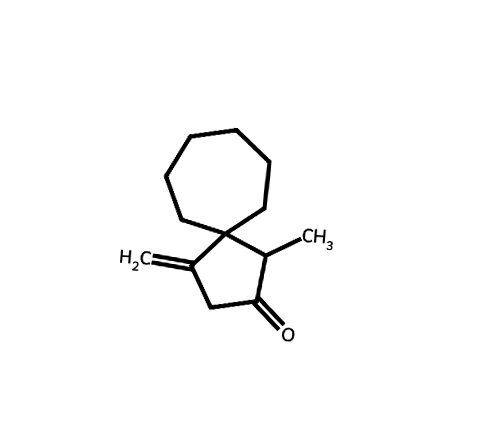 C=C1CC(=O)C(C)C12CCCCCC2